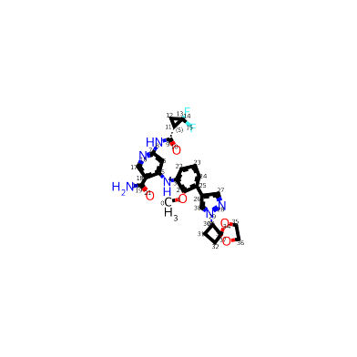 COc1c(Nc2cc(NC(=O)[C@@H]3CC3(F)F)ncc2C(N)=O)cccc1-c1cnn([C@H]2CCC23OCCO3)c1